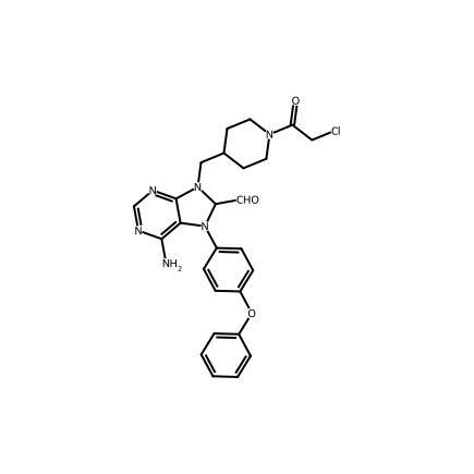 Nc1ncnc2c1N(c1ccc(Oc3ccccc3)cc1)C(C=O)N2CC1CCN(C(=O)CCl)CC1